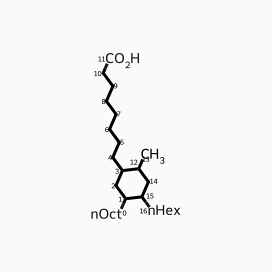 CCCCCCCCC1CC(CCCCCCCC(=O)O)C(C)CC1CCCCCC